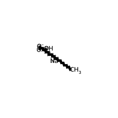 CCCCCCCCCCCCCCCCCCC(O)C=CC(=O)[O-].[Na+]